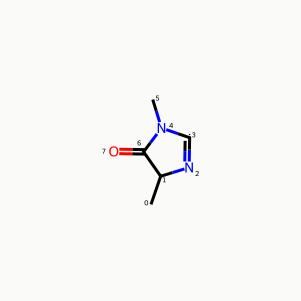 CC1N=[C]N(C)C1=O